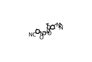 N#Cc1cccc(N2C[C@@H](C(=O)N3CC4(CC4)c4cc(Cn5ccnc5)ccc43)CC2=O)c1